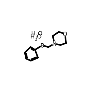 O.O.[B](CN1CCOCC1)c1ccccc1